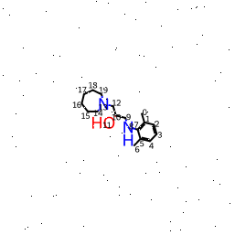 Cc1cccc(C)c1NCC(O)CN1CCCCCC1